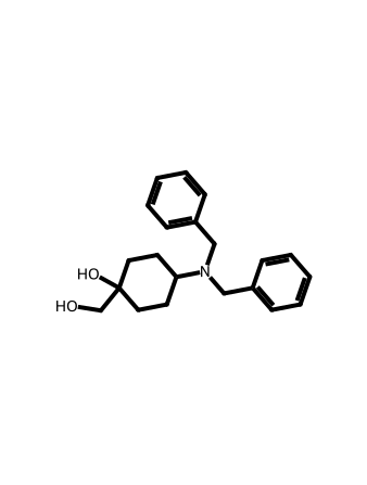 OCC1(O)CCC(N(Cc2ccccc2)Cc2ccccc2)CC1